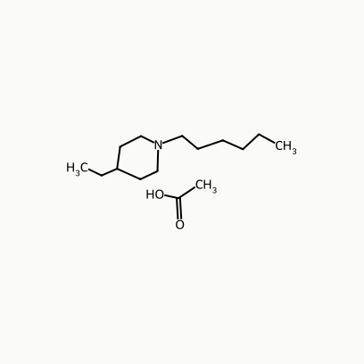 CC(=O)O.CCCCCCN1CCC(CC)CC1